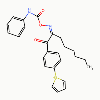 CCCCCCC(=NOC(=O)Nc1ccccc1)C(=O)c1ccc([SH]2C=CC=C2)cc1